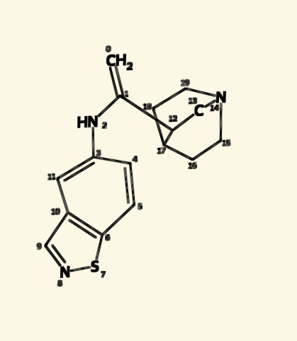 C=C(Nc1ccc2sncc2c1)C1CN2CCC1CC2